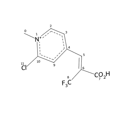 C[n+]1ccc(/C=C(/C(=O)O)C(F)(F)F)cc1Cl